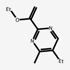 C=C(OCC)c1ncc(CC)c(C)n1